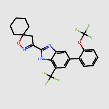 FC(F)(F)Oc1ccccc1-c1cc(C(F)(F)F)c2[nH]c(C3=NOC4(CCCCC4)C3)nc2c1